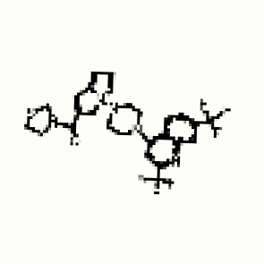 O=C(C1=CC2=CC=C[N@@+]2(N2CCN(c3cc(C(F)(F)F)nc4cc(C(F)(F)F)ccc34)CC2)C1)N1CCSC1